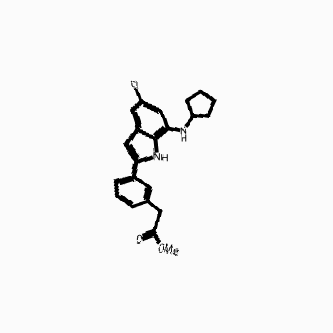 COC(=O)Cc1cccc(-c2cc3cc(Cl)cc(NC4CCCC4)c3[nH]2)c1